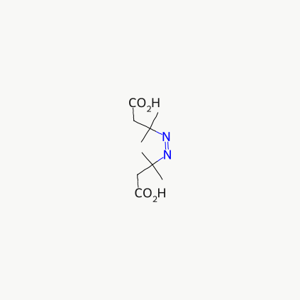 CC(C)(CC(=O)O)/N=N\C(C)(C)CC(=O)O